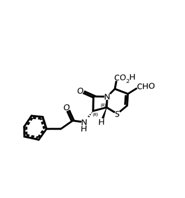 O=CC1=CS[C@@H]2[C@H](NC(=O)Cc3ccccc3)C(=O)N2C1C(=O)O